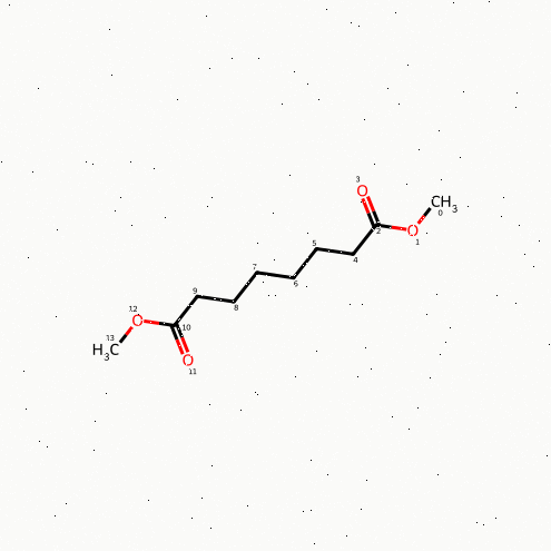 COC(=O)CCCCCCC(=O)OC